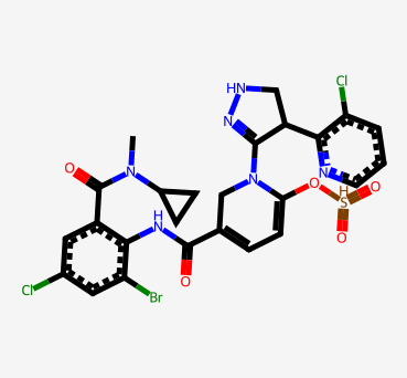 CN(C(=O)c1cc(Cl)cc(Br)c1NC(=O)C1=CC=C(O[SH](=O)=O)N(C2=NNCC2c2ncccc2Cl)C1)C1CC1